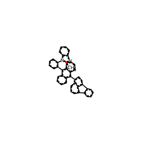 Cc1nc2ccccc2n1-c1ccccc1-c1c2ccccc2c(-c2ccc3c4c(cccc24)-c2ccccc2-3)c2ccccc12